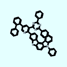 c1ccc(-c2nc(-c3ccccc3)nc(-c3cc(-c4ccccc4-c4ccccc4)cnc3-c3ccc4c(c3)sc3ccc5c(c6ccccc6n5-c5ccccc5)c34)n2)cc1